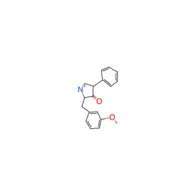 COc1cccc(CC2N=CC(c3ccccc3)C2=O)c1